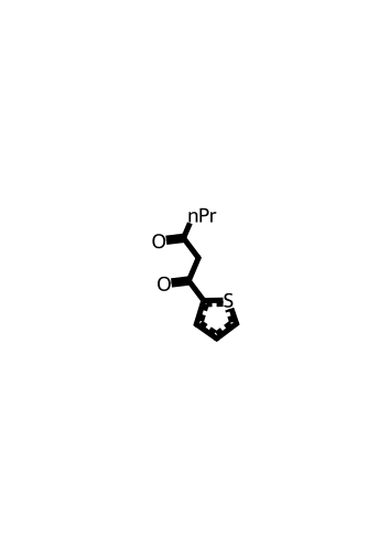 CCCC(=O)CC(=O)c1cccs1